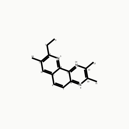 CCc1nc2c(ccc3nc(C)c(C)nc32)cc1C